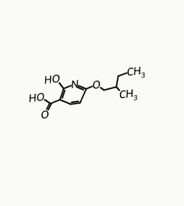 CCC(C)COc1ccc(C(=O)O)c(O)n1